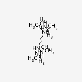 CC(C)N=C(NCCCCCCNC(=NC(C)C)NC(C)C)NC(C)C